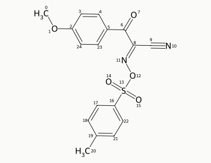 COc1ccc(C(=O)C(C#N)=NOS(=O)(=O)c2ccc(C)cc2)cc1